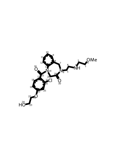 COCCNCCN1Cc2ccccc2N(C(=O)c2ccc(OCCO)cc2Cl)CC1=O